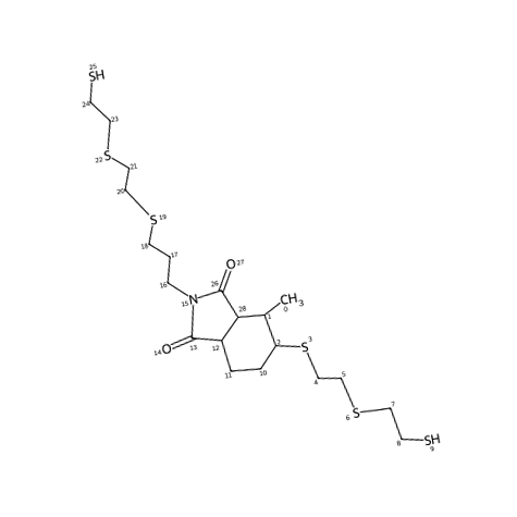 CC1C(SCCSCCS)CCC2C(=O)N(CCCSCCSCCS)C(=O)C21